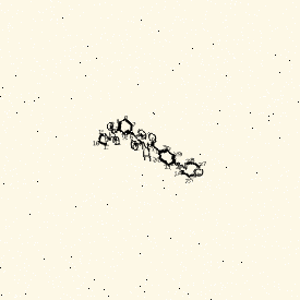 O=C(NS(=O)(=O)c1cccc(S(=O)(=O)N2CCC2)c1)c1ccc(N2CCOCC2)cc1